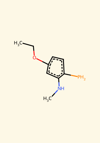 CCOc1ccc(P)c(NC)c1